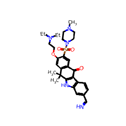 CCN(CC)CCOc1cc2c(cc1S(=O)(=O)N1CCN(C)CC1)C(=O)c1c([nH]c3cc(C=N)ccc13)C2(C)C